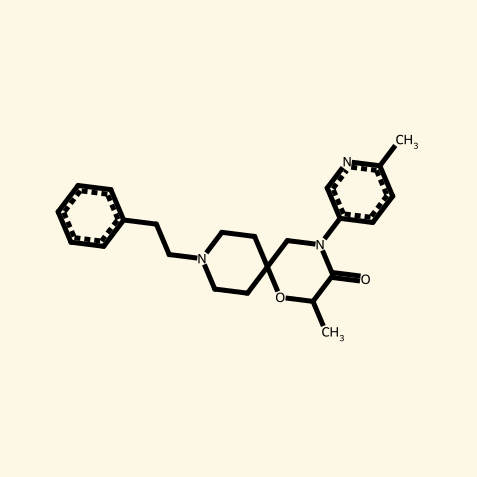 Cc1ccc(N2CC3(CCN(CCc4ccccc4)CC3)OC(C)C2=O)cn1